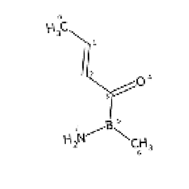 C/C=C/C(=O)B(C)N